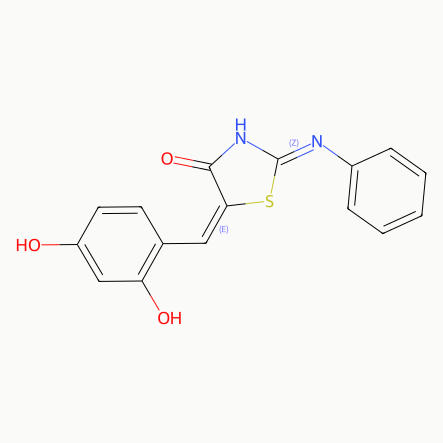 O=C1N/C(=N/c2ccccc2)S/C1=C/c1ccc(O)cc1O